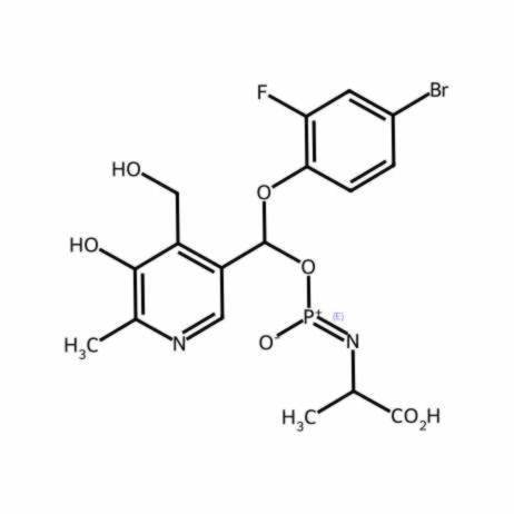 Cc1ncc(C(Oc2ccc(Br)cc2F)O/[P+]([O-])=N/C(C)C(=O)O)c(CO)c1O